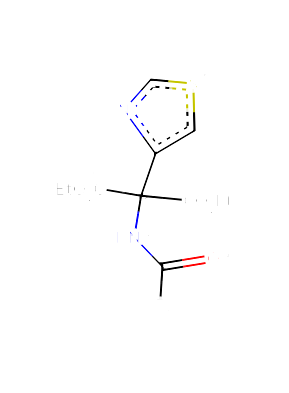 CCOC(=O)C(NC(=O)CC)(C(=O)OCC)c1cscn1